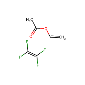 C=COC(C)=O.FC(F)=C(F)F